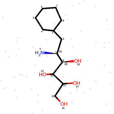 N[C@@H](CC1CCCCC1)[C@@H](O)C(O)C(O)CO